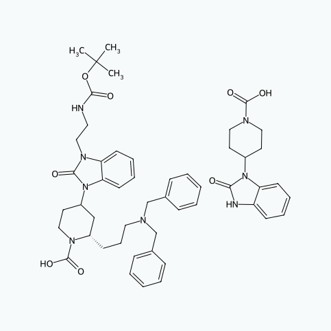 CC(C)(C)OC(=O)NCCn1c(=O)n(C2CCN(C(=O)O)[C@@H](CCCN(Cc3ccccc3)Cc3ccccc3)C2)c2ccccc21.O=C(O)N1CCC(n2c(=O)[nH]c3ccccc32)CC1